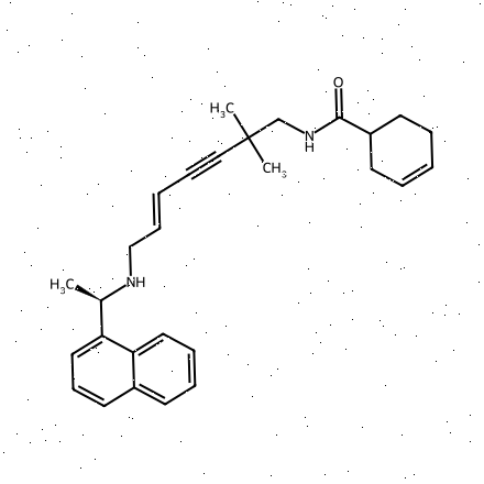 C[C@@H](NC/C=C/C#CC(C)(C)CNC(=O)C1CC=CCC1)c1cccc2ccccc12